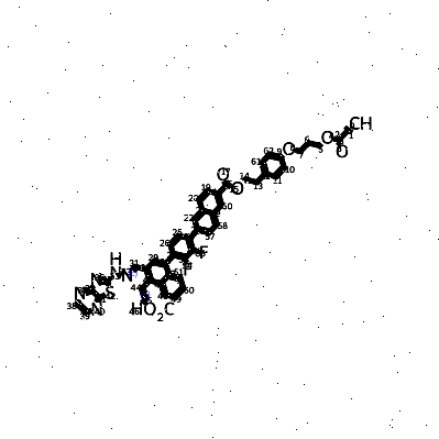 C#CC(=O)OCCCOc1ccc(CCOC(=O)c2ccc3cc(-c4ccc(-c5cc(/C=N/Nc6nc7nccnc7s6)c(/C=C/C(=O)O)c6ccccc56)c(F)c4F)ccc3c2)cc1